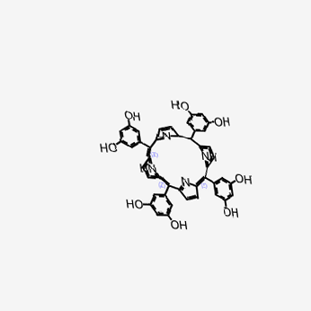 Oc1cc(O)cc(/C2=C3\C=CC(=N3)/C(c3cc(O)cc(O)c3)=c3/cc/c([nH]3)=C(\c3cc(O)cc(O)c3)C3=NC(C=C3)C(c3cc(O)cc(O)c3)c3ccc2[nH]3)c1